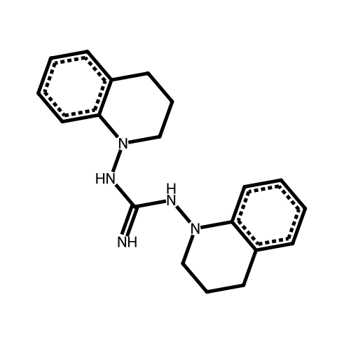 N=C(NN1CCCc2ccccc21)NN1CCCc2ccccc21